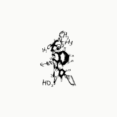 CN(C)CC(C)(C)CS(=O)(=O)c1ccccc1C1CNN(COS(=O)(=O)O)C1c1ccc(Cl)cc1